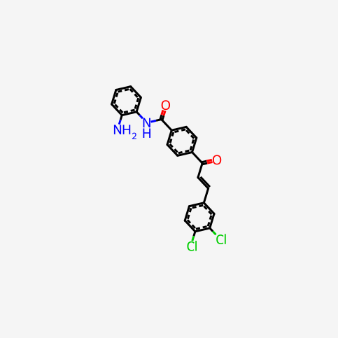 Nc1ccccc1NC(=O)c1ccc(C(=O)/C=C/c2ccc(Cl)c(Cl)c2)cc1